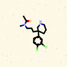 CC(=O)N(C)CCCC1(c2ccc(Cl)c(Cl)c2)CCCNC1